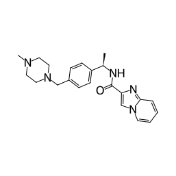 C[C@@H](NC(=O)c1cn2ccccc2n1)c1ccc(CN2CCN(C)CC2)cc1